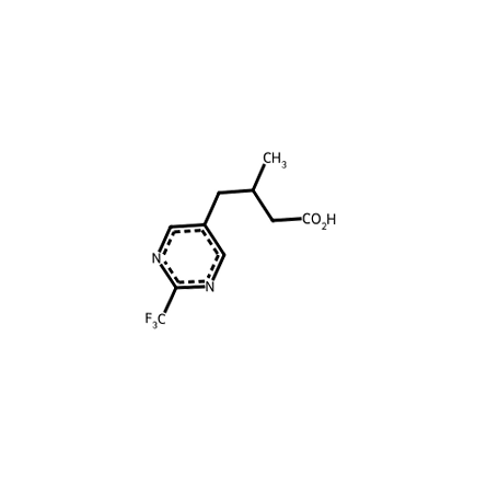 CC(CC(=O)O)Cc1cnc(C(F)(F)F)nc1